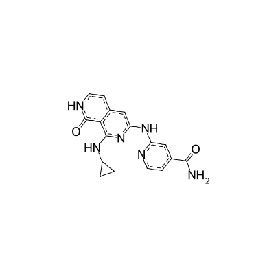 NC(=O)c1ccnc(Nc2cc3cc[nH]c(=O)c3c(NC3CC3)n2)c1